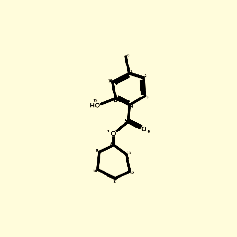 Cc1ccc(C(=O)OC2CCCCC2)c(O)c1